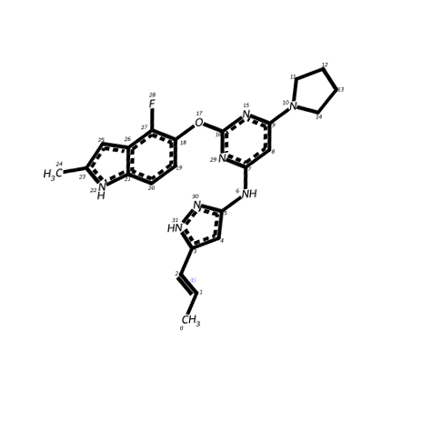 C/C=C/c1cc(Nc2cc(N3CCCC3)nc(Oc3ccc4[nH]c(C)cc4c3F)n2)n[nH]1